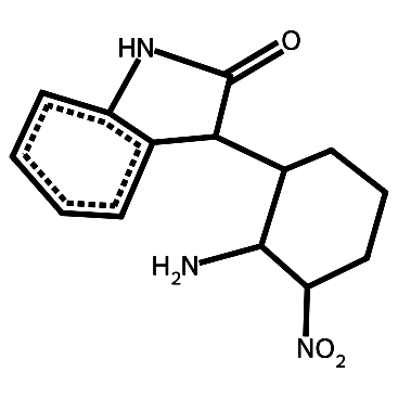 NC1C(C2C(=O)Nc3ccccc32)CCCC1[N+](=O)[O-]